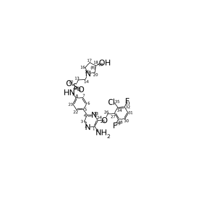 Nc1ncc(-c2ccc(NS(=O)(=O)CCN3CC[C@@H](O)C3)cc2)nc1OCc1c(F)ccc(F)c1Cl